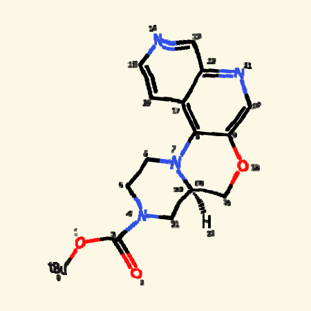 CC(C)(C)OC(=O)N1CCN2c3c(cnc4cnccc34)OC[C@H]2C1